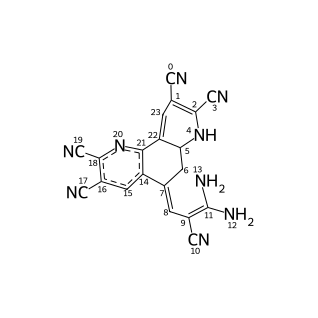 N#CC1=C(C#N)NC2C/C(=C\C(C#N)=C(N)N)c3cc(C#N)c(C#N)nc3C2=C1